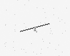 CCCCCCCCCCCC[SiH2]CCCCCCCCCCCC